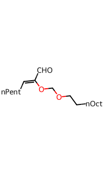 CCCCCC=C(C=O)OCOCCCCCCCCCC